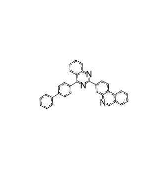 c1ccc(-c2ccc(-c3nc(-c4ccc5c(c4)ncc4ccccc45)nc4ccccc34)cc2)cc1